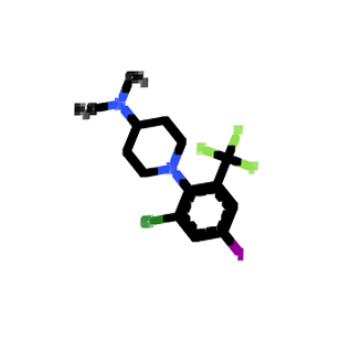 CN(C)C1CCN(c2c(Cl)cc(I)cc2C(F)(F)F)CC1